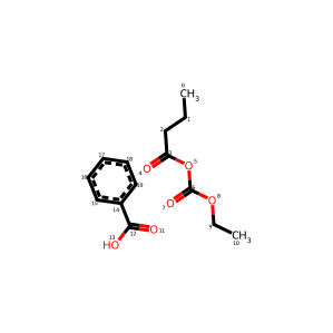 CCCC(=O)OC(=O)OCC.O=C(O)c1ccccc1